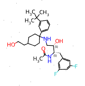 CC(=O)N[C@@H](Cc1cc(F)cc(F)c1)[C@@H](O)CNC1(c2cccc(C(C)(C)C)c2)CCC(CCO)CC1